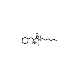 CCCCCCNC(=O)C(N)CC1CCCCC1